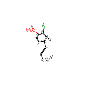 CCc1c(C=CC(=O)O)ccc(O)c1Cl